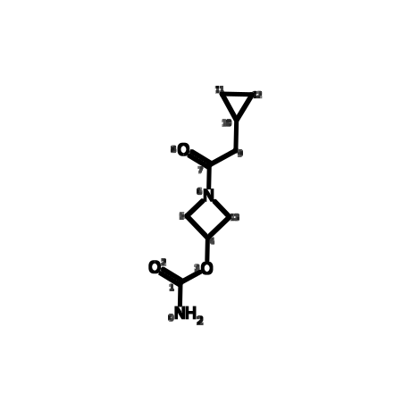 NC(=O)OC1CN(C(=O)CC2CC2)C1